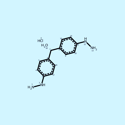 Cl.NNc1ccc(Cc2ccc(NN)cc2)cc1.O